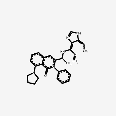 C=N/C(N[C@@H](C)c1cc2cccc(N3CCCC3)c2c(=O)n1-c1ccccc1)=C1/N=CN/C1=N/C